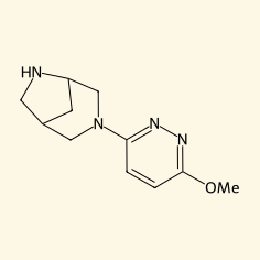 COc1ccc(N2CC3CNC(C3)C2)nn1